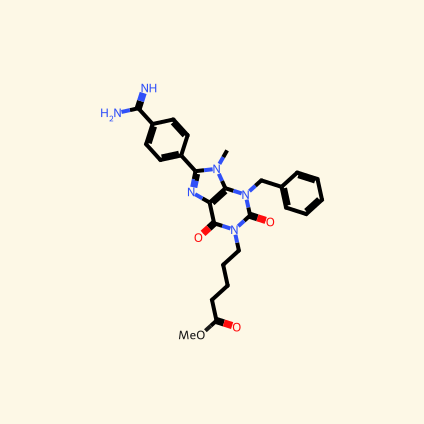 COC(=O)CCCCn1c(=O)c2nc(-c3ccc(C(=N)N)cc3)n(C)c2n(Cc2ccccc2)c1=O